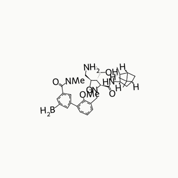 Bc1cc(C(=O)NC)cc(-c2cccc(CN3O[C@@H](CN)[C@H]([C@H](C)O)[C@H]3C(=O)N[C@H]3C[C@H]4C[C@@H]([C@@H]3C)C4(C)C)c2OC)c1